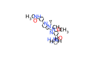 CNC(=O)c1cccc(-c2ccc3cc(-c4nc5cc(C(=O)N6C[C@H]7CC[C@@H]6[C@@H]7N)cc(OC)c5n4C)n(CC4CC4)c3n2)c1